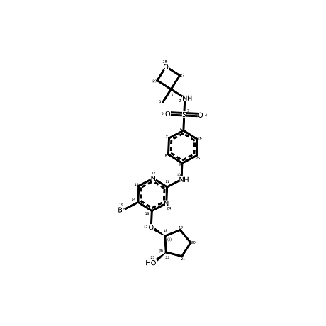 CC1(NS(=O)(=O)c2ccc(Nc3ncc(Br)c(O[C@H]4CCC[C@H]4O)n3)cc2)COC1